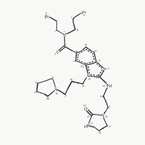 CC(C)CCN(CCC(C)C)C(=O)c1ccc2nc(NCCN3CCNC3=O)n(CCCN3CCCC3)c2c1